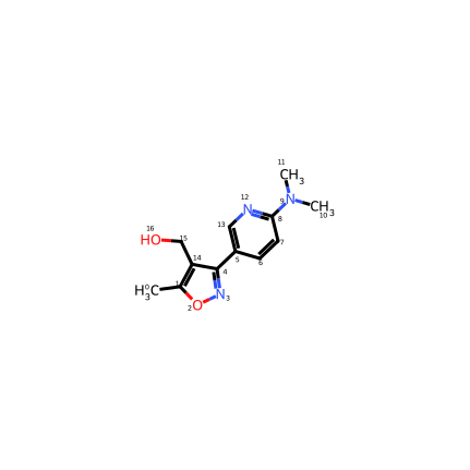 Cc1onc(-c2ccc(N(C)C)nc2)c1CO